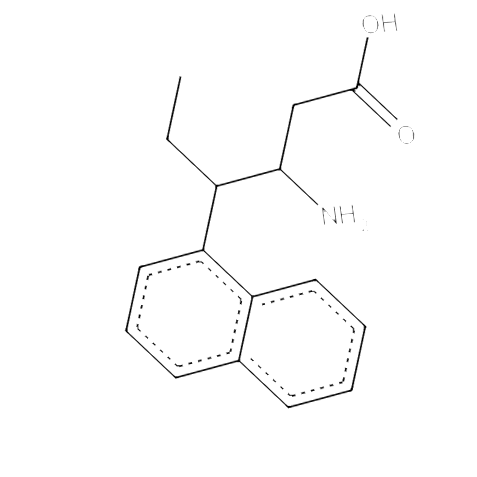 CCC(c1cccc2ccccc12)C(N)CC(=O)O